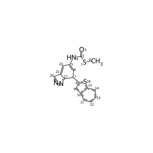 CSC(=O)NC1=CC(c2cc3ccccc3s2)C2=NN=CC2=C1